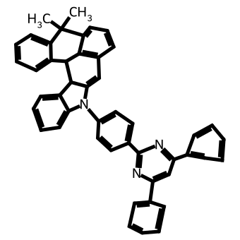 CC1(C)c2ccccc2C2c3c(cccc31)C=C1C2c2ccccc2N1c1ccc(-c2nc(-c3ccccc3)cc(-c3ccccc3)n2)cc1